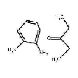 CCC(=O)CC.Nc1ccccc1N